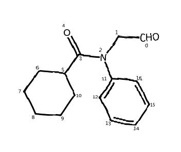 O=CCN(C(=O)C1CCCCC1)c1ccccc1